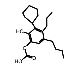 CCCCc1cc(OC(=O)O)c(O)c(C2CCCCC2)c1CCC